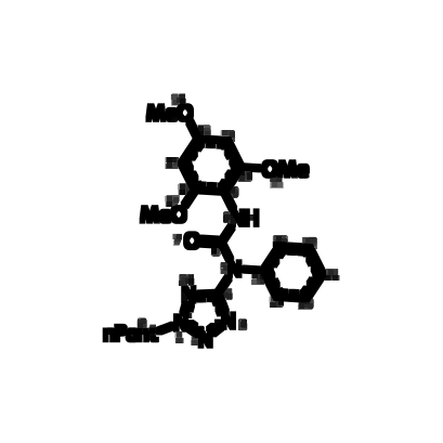 CCCCCn1nnc(N(C(=O)Nc2c(OC)cc(OC)cc2OC)c2ccccc2)n1